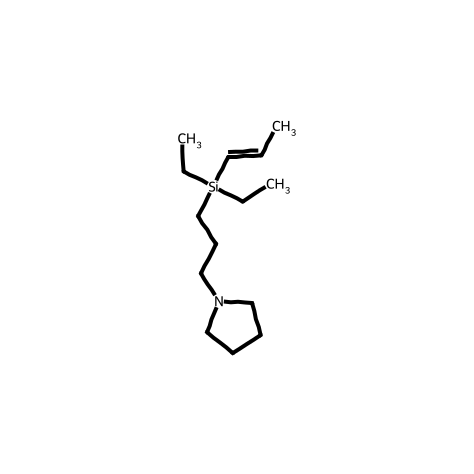 CC=C[Si](CC)(CC)CCCN1CCCC1